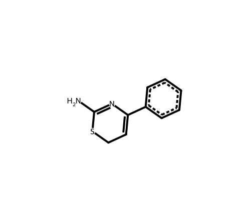 NC1=NC(c2ccccc2)=CCS1